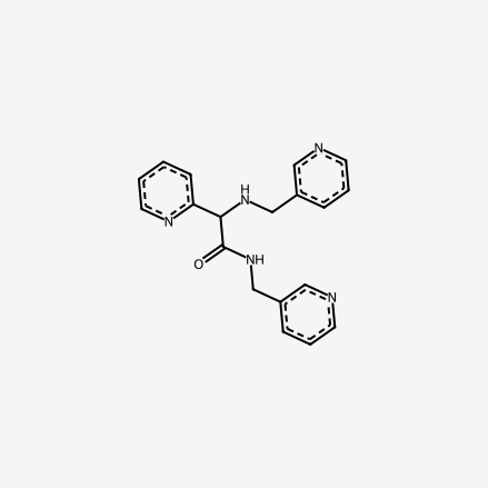 O=C(NCc1cccnc1)C(NCc1cccnc1)c1ccccn1